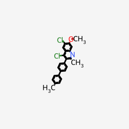 COc1cc2nc(C)c(-c3ccc(-c4ccc(C)cc4)cc3)c(Cl)c2cc1Cl